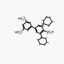 O=C(O)c1cc(C(=O)O)cc(-c2cc(C3CCCCC3)c(S(=O)(=O)O)c(C3CCCCC3)c2)c1